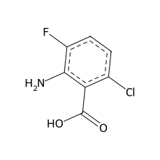 Nc1c(F)ccc(Cl)c1C(=O)O